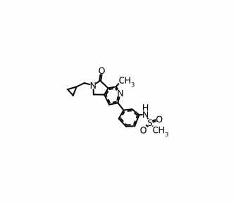 Cc1nc(-c2cccc(NS(C)(=O)=O)c2)cc2c1C(=O)N(CC1CC1)C2